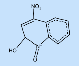 O=[N+]([O-])C1=CC(O)[N+](=O)c2ccccc21